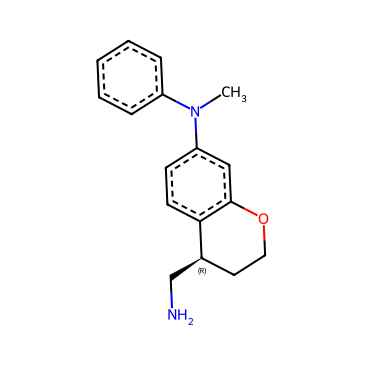 CN(c1ccccc1)c1ccc2c(c1)OCC[C@H]2CN